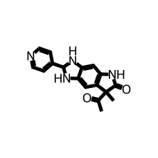 CC(=O)C1(C)C(=O)Nc2cc3c(cc21)NC(c1ccncc1)N3